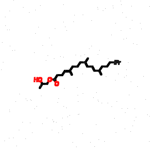 C/C(=C\CCC(=O)OCC(C)O)CCCC(C)CCCC(C)CCCC(C)C